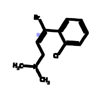 CN(C)C/C=C(/Br)c1ccccc1Cl